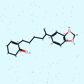 CC(CCCCC1=CCCCC1=O)c1ccc2c(c1)OCO2